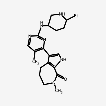 CCC1CCC(Nc2ncc(C(F)(F)F)c(-c3c[nH]c4c3CCCN(C)C4=O)n2)CN1